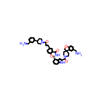 NCc1cccc(C2CCN(C(=O)/C=C/c3ccc4c(c3)C(=O)NB(c3cccc5[nH]c(C(=O)N6CCC7(CC6)COc6ccc(CN)cc67)cc35)O4)CC2)c1